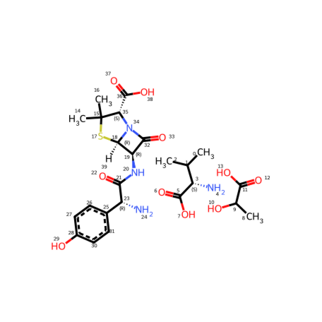 CC(C)[C@H](N)C(=O)O.CC(O)C(=O)O.CC1(C)S[C@@H]2[C@H](NC(=O)[C@H](N)c3ccc(O)cc3)C(=O)N2[C@H]1C(=O)O